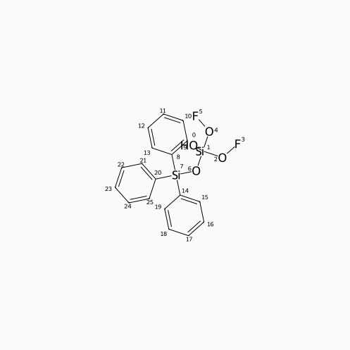 O[Si](OF)(OF)O[Si](c1ccccc1)(c1ccccc1)c1ccccc1